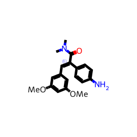 COc1cc(/C=C(/C(=O)N(C)C)c2ccc(N)cc2)cc(OC)c1